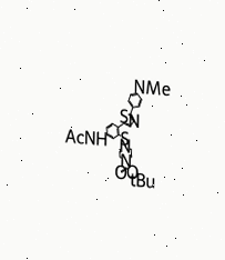 CNc1ccc(-c2ncc(-c3ccc(NC(C)=O)cc3SN3CCN(C(=O)OC(C)(C)C)CC3)s2)cc1